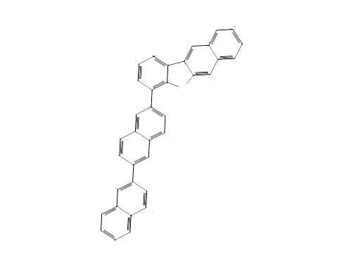 c1ccc2cc(-c3ccc4cc(-c5cccc6c5sc5cc7ccccc7cc56)ccc4c3)ccc2c1